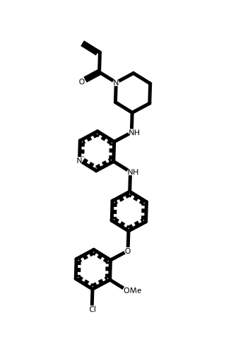 C=CC(=O)N1CCCC(Nc2ccncc2Nc2ccc(Oc3cccc(Cl)c3OC)cc2)C1